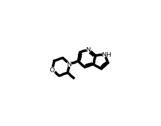 CC1COCCN1c1cnc2[nH]ccc2c1